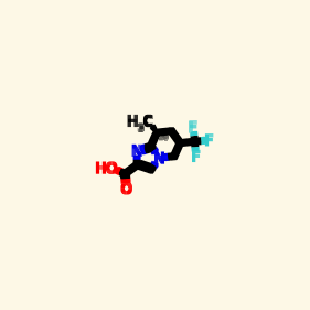 C[C@H]1CC(C(F)(F)F)Cn2cc(C(=O)O)nc21